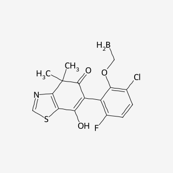 BCOc1c(Cl)ccc(F)c1C1=C(O)c2scnc2C(C)(C)C1=O